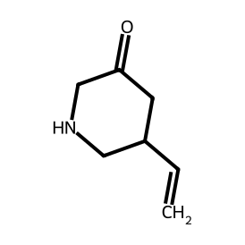 C=CC1CNCC(=O)C1